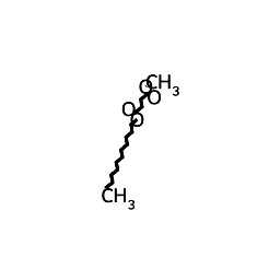 CCCCCCCCCCCCOC(=O)CCC(=O)OC